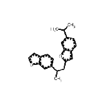 CC(C)c1ccc2cc(CC(C)c3ccc4ccoc4c3)oc2c1